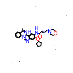 C[C@@H](Nc1ncnc2cc(OC3CCCC3)c(NC(=O)/C=C/CN3CCOCC3)cc12)c1ccccc1